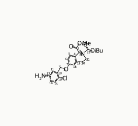 COC(=O)C1c2ccc(OCc3cc(N)ccc3Cl)cc2CCN1C(=O)OCC(C)C